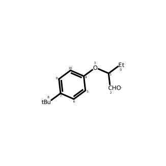 CCC([C]=O)Oc1ccc(C(C)(C)C)cc1